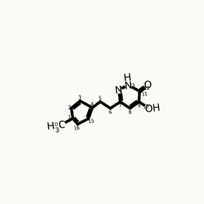 Cc1ccc(CCc2cc(O)c(=O)[nH]n2)cc1